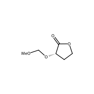 COCO[C@H]1CCOC1=O